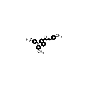 CC(=CC=Cc1ccc(C)cc1)c1ccc(N(c2ccc(C)cc2)c2ccc(C)cc2)c2ccccc12